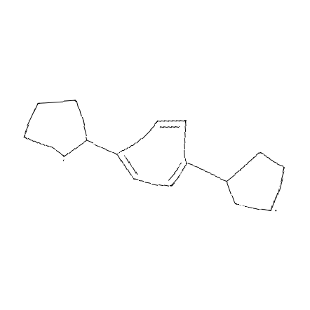 [CH]1CCC(c2ccc(C3[CH]CCC3)cc2)C1